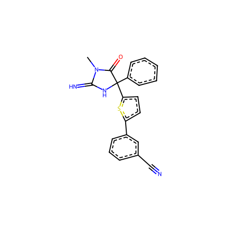 CN1C(=N)NC(c2ccccc2)(c2ccc(-c3cccc(C#N)c3)s2)C1=O